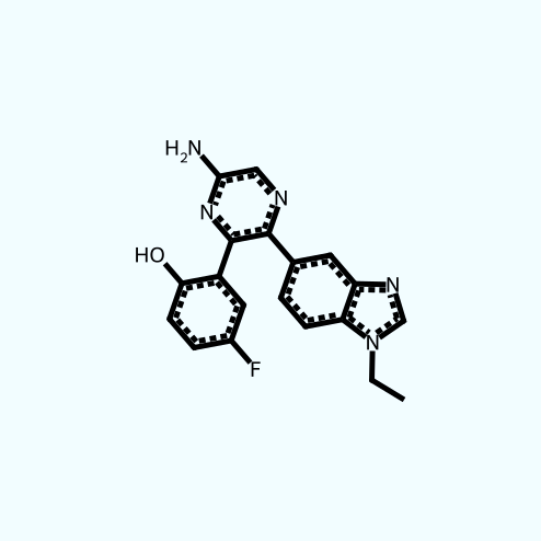 CCn1cnc2cc(-c3ncc(N)nc3-c3cc(F)ccc3O)ccc21